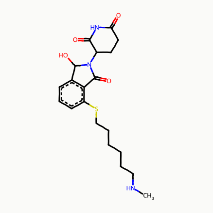 CNCCCCCCSc1cccc2c1C(=O)N(C1CCC(=O)NC1=O)C2O